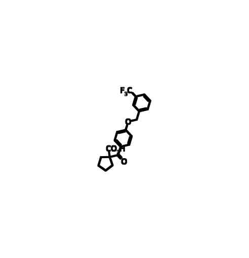 O=C(O)C1(C(=O)c2ccc(OCc3cccc(C(F)(F)F)c3)cc2)CCCC1